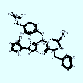 COC(=O)N[C@@H](Cc1ccccc1)C(=O)N[C@@H](Cc1ccc(N[SH](=O)=O)cc1)c1csc(-c2sccc2Cl)n1